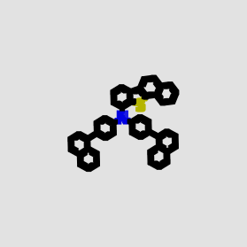 c1ccc2c(-c3ccc(N(c4ccc(-c5cccc6ccccc56)cc4)c4cccc5c4sc4c6ccccc6ccc54)cc3)cccc2c1